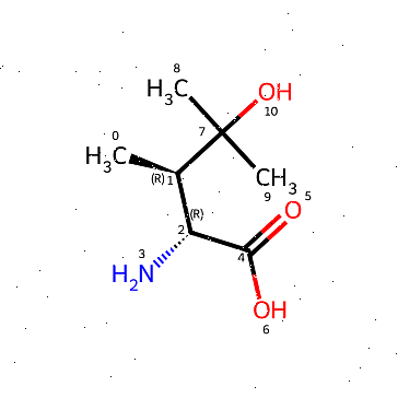 C[C@H]([C@@H](N)C(=O)O)C(C)(C)O